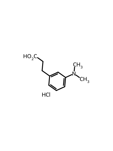 CN(C)c1cccc(CCC(=O)O)c1.Cl